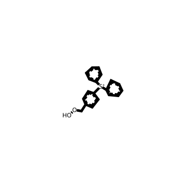 OOCc1ccc([S+](c2ccccc2)c2ccccc2)cc1